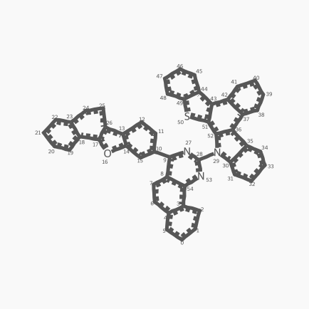 c1ccc2c(c1)ccc1c(-c3ccc4c(c3)oc3c5ccccc5ccc43)nc(-n3c4ccccc4c4c5ccccc5c5c6ccccc6sc5c43)nc12